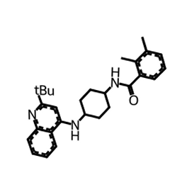 Cc1cccc(C(=O)NC2CCC(Nc3cc(C(C)(C)C)nc4ccccc34)CC2)c1C